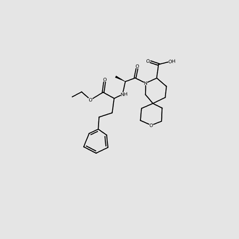 CCOC(=O)C(CCc1ccccc1)N[C@@H](C)C(=O)N1CC2(CCOCC2)CCC1C(=O)O